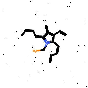 C=C/C=C\c1c(C=C)c(=C)/c(=C\C=C/C)n1CP